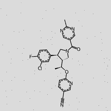 Cc1ncc(C(=O)N2C[C@H]([C@H](C)Oc3ccc(C#N)cn3)[C@@H](c3ccc(F)c(Cl)c3)C2)cn1